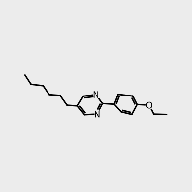 CCCCCCc1cnc(-c2ccc(OCC)cc2)nc1